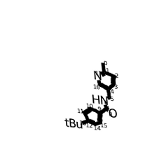 Cc1ccc(CNC(=O)c2ccc(C(C)(C)C)cc2)cn1